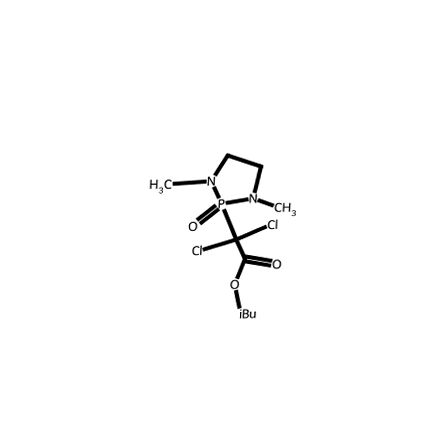 CCC(C)OC(=O)C(Cl)(Cl)P1(=O)N(C)CCN1C